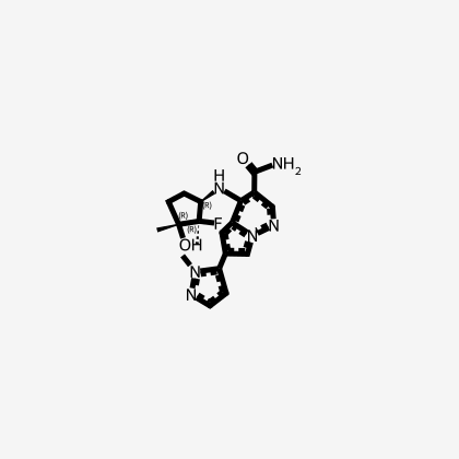 Cn1nccc1-c1cc2c(N[C@@H]3CC[C@@](C)(O)[C@]3(C)F)c(C(N)=O)cnn2c1